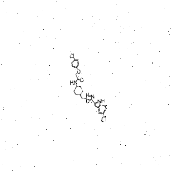 O=C(COc1ccc(Cl)cc1)NC1CCC(Cc2nnc(-c3cc4cc(Cl)ccc4[nH]3)o2)CC1